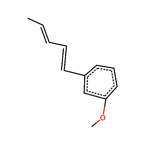 C/C=C/C=C/c1cccc(OC)c1